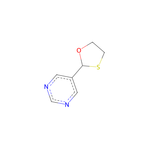 c1ncc(C2OCCS2)cn1